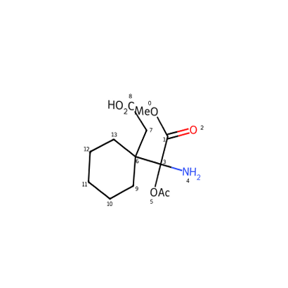 COC(=O)C(N)(OC(C)=O)C1(CC(=O)O)CCCCC1